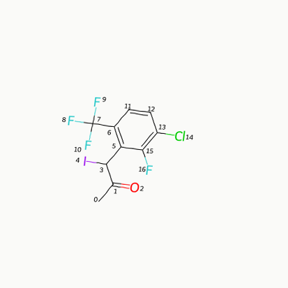 CC(=O)C(I)c1c(C(F)(F)F)ccc(Cl)c1F